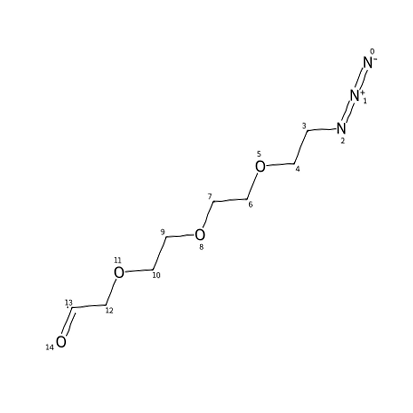 [N-]=[N+]=NCCOCCOCCOC[C]=O